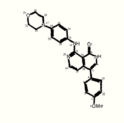 COc1ccc(-c2c[nH]c(=O)c3c(Nc4ccc(N5CCOCC5)cc4)nccc23)cc1